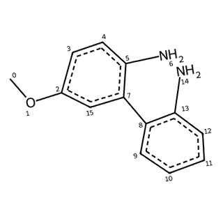 COc1ccc(N)c(-c2ccccc2N)c1